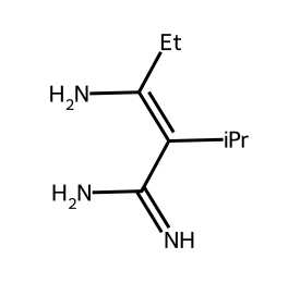 CC/C(N)=C(/C(=N)N)C(C)C